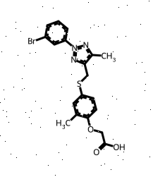 Cc1cc(SCc2nn(-c3cccc(Br)c3)nc2C)ccc1OCC(=O)O